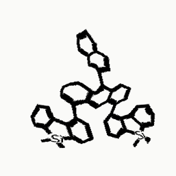 C[Si]1(C)c2ccccc2-c2c(-c3cccc4c(-c5ccc6ccccc6c5)c5cccc(-c6cccc7c6-c6ccccc6[Si]7(C)C)c5cc34)cccc21